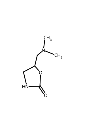 CN(C)CC1CNC(=O)O1